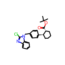 CC(C)(C)OC(=O)[C@@H]1CCCC[C@H]1c1ccc(Cn2c(Cl)nc3ccccc32)cc1